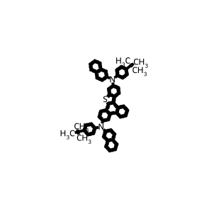 CC(C)(C)c1ccc(N(c2ccc3ccccc3c2)c2ccc3c(c2)sc2c4ccc(N(c5ccc(C(C)(C)C)cc5)c5ccc6ccccc6c5)cc4c4ccccc4c32)cc1